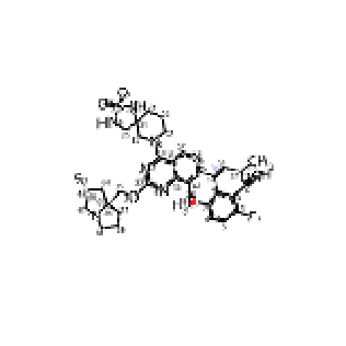 C#Cc1c(F)ccc(C)c1/C(=C\C(C)O)c1ncc2c(N3CCCC4(CNS(=O)(=O)N4)C3)nc(OC[C@@]34CCCN3C[C@H](F)C4)nc2c1F